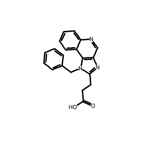 O=C(O)CCc1nc2cnc3ccccc3c2n1Cc1ccccc1